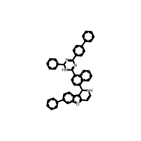 C1=Cc2oc3cc(-c4ccccc4)ccc3c2C(c2ccc(C3=NC(c4ccc(-c5ccccc5)cc4)=NC(c4ccccc4)N3)c3ccccc23)N1